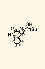 CC(C)(C)C(O)n1cc2c(n1)c(=O)[nH]c1ccccc12